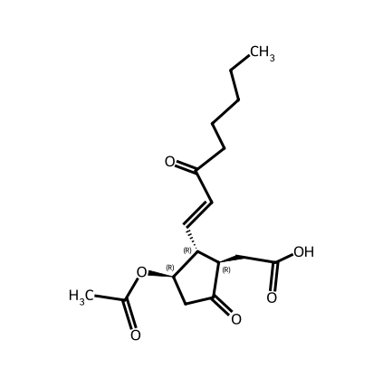 CCCCCC(=O)C=C[C@H]1[C@H](OC(C)=O)CC(=O)[C@@H]1CC(=O)O